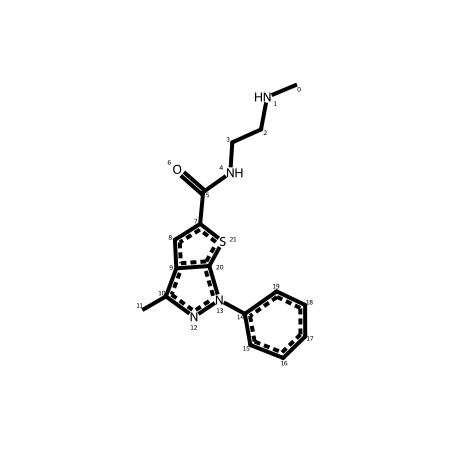 CNCCNC(=O)c1cc2c(C)nn(-c3ccccc3)c2s1